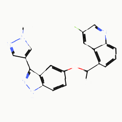 CC(Oc1ccc2[nH]nc(-c3cnn(C)c3)c2c1)c1cccc2ncc(F)cc12